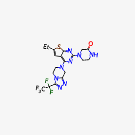 CCc1cc2c(N3CCn4c(nnc4C(F)(F)C(F)(F)F)C3)nc(N3CCNC(=O)C3)nc2s1